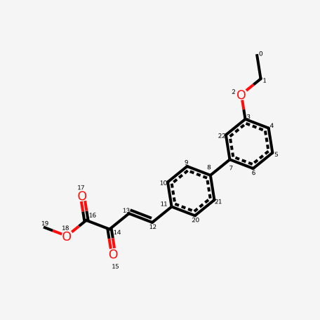 CCOc1cccc(-c2ccc(C=CC(=O)C(=O)OC)cc2)c1